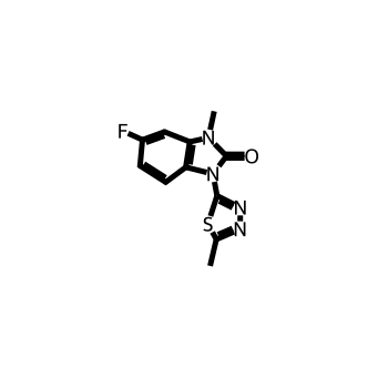 Cc1nnc(-n2c(=O)n(C)c3cc(F)ccc32)s1